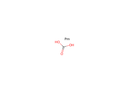 O=C(O)O.[Pm]